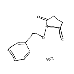 Cl.O=C1CCC(=O)N1OCc1ccccc1